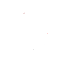 O=C(CN(Cc1ccccc1)S(=O)(=O)c1ccc(Br)cc1)N1CCCCCC1